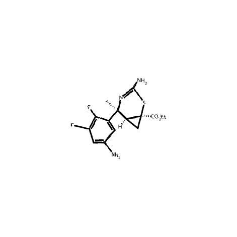 CCOC(=O)[C@]12C[C@H]1[C@@](C)(c1cc(N)cc(F)c1F)N=C(N)S2